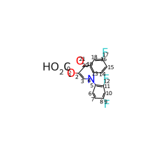 O=C(O)Oc1cn(-c2ccc(F)cc2F)c2ccc(F)cc2c1=O